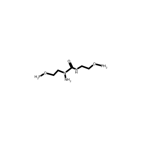 NN(CCOP)C(=O)NCCOP